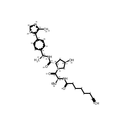 C#CCCCCCC(=O)N[C@H](C(=O)N1C[C@H](O)C[C@H]1C(=O)N[C@@H](C)c1ccc(-c2scnc2C)cc1)C(C)(C)C